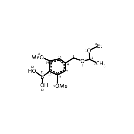 CCOC(C)OCc1cc(OC)c(B(O)O)c(OC)c1